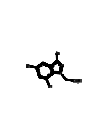 CCc1cc(Br)cc2c(C(C)=O)nn(CC(=O)O)c12